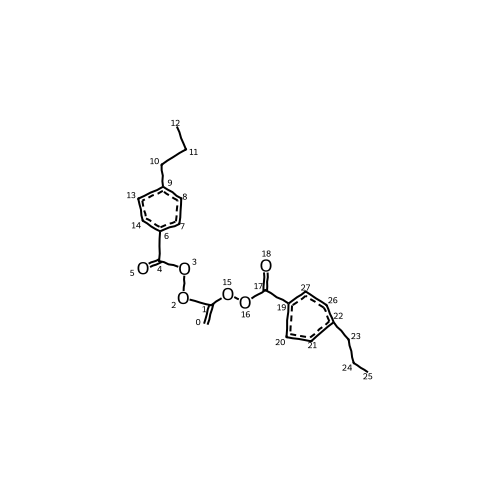 C=C(OOC(=O)c1ccc(CCC)cc1)OOC(=O)c1ccc(CCC)cc1